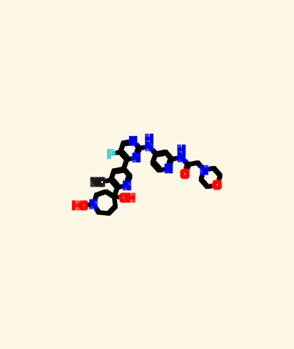 N#Cc1cc(-c2nc(Nc3ccnc(NC(=O)CN4CCOCC4)c3)ncc2F)cnc1C1(O)CCCN(O)CC1